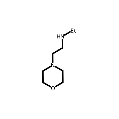 [CH2]CNCCN1CCOCC1